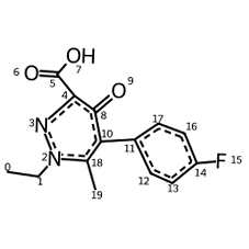 CCn1nc(C(=O)O)c(=O)c(-c2ccc(F)cc2)c1C